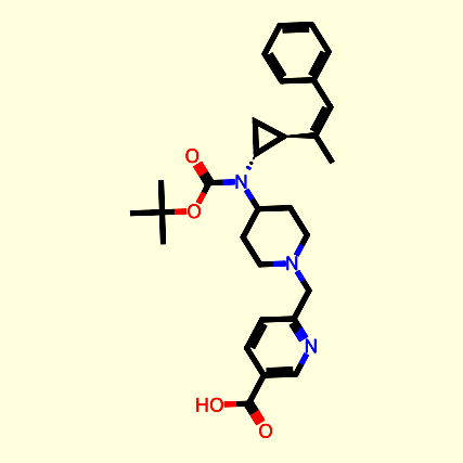 CC(=Cc1ccccc1)[C@@H]1C[C@H]1N(C(=O)OC(C)(C)C)C1CCN(Cc2ccc(C(=O)O)cn2)CC1